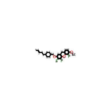 C/C=C/CCC1CCC(COc2cc3c(c(F)c2F)Oc2c(ccc(OCC)c2F)C3)CC1